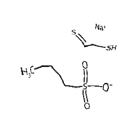 CCCS(=O)(=O)[O-].S=CS.[Na+]